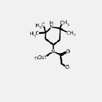 CCCCCCCCN(C(=O)CCl)C1CC(C)(C)NC(C)(C)C1